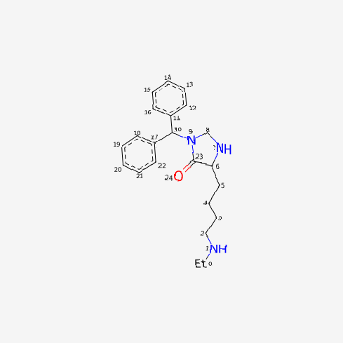 CCNCCCCC1NCN(C(c2ccccc2)c2ccccc2)C1=O